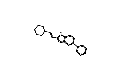 C(=C\C1CCCCC1)/c1nc2cc(-c3ccccc3)ccc2[nH]1